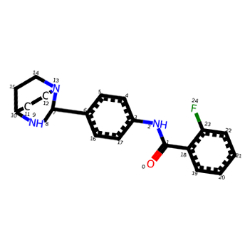 O=C(Nc1ccc(C2CNC3CCN2CC3)cc1)c1ccccc1F